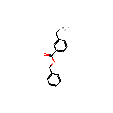 CCOC(=O)Cc1cccc(C(=O)OCc2ccccc2)c1